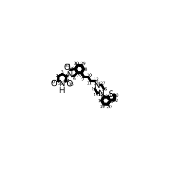 O=C1CCC(N2Cc3c(CCCCN4CCN(c5cccc6ccsc56)CC4)cccc3C2=O)C(=O)N1